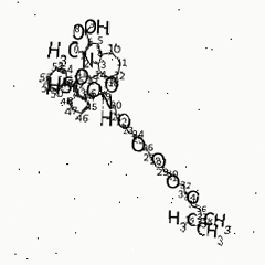 Cc1nc2c(cc1C(=O)O)CCCCC2C(OC(=O)NCCOCCOCCOCCOCCOCCC(C)(C)C)O[SiH](c1ccccc1)c1ccccc1